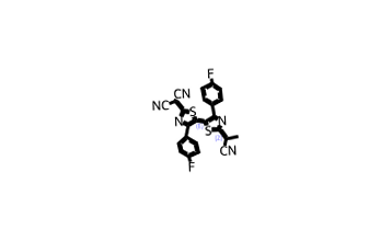 C/C(C#N)=c1\nc(-c2ccc(F)cc2)/c(=c2\sc(=C(C#N)C#N)nc2-c2ccc(F)cc2)s1